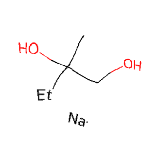 CCC(C)(O)CO.[Na]